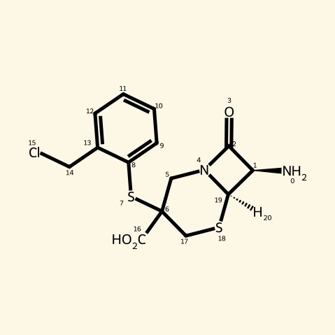 N[C@@H]1C(=O)N2CC(Sc3ccccc3CCl)(C(=O)O)CS[C@H]12